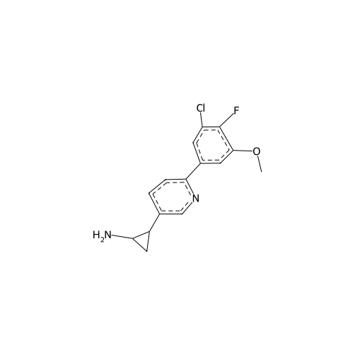 COc1cc(-c2ccc(C3CC3N)cn2)cc(Cl)c1F